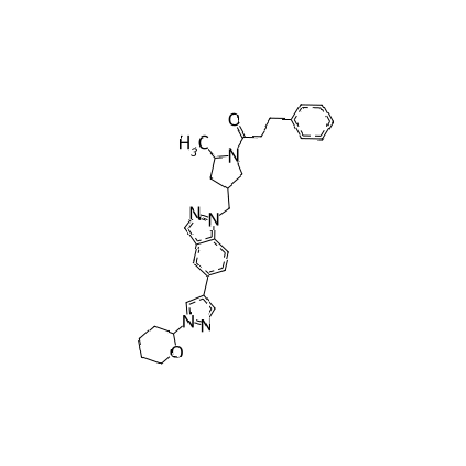 CC1CC(Cn2ncc3cc(-c4cnn(C5CCCCO5)c4)ccc32)CN1C(=O)CCc1ccccc1